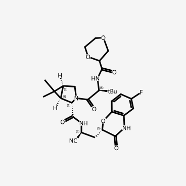 CC(C)(C)[C@H](NC(=O)C1COCCO1)C(=O)N1C[C@H]2[C@@H]([C@H]1C(=O)N[C@H](C#N)C[C@@H]1Oc3ccc(F)cc3NC1=O)C2(C)C